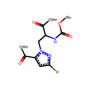 COC(=O)c1cc(Br)nn1CC(NC(=O)OC(C)(C)C)C(=O)OC